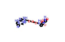 N=C(NCC(F)COCCOCCOCCNc1cccc2c1C(=O)N(C1CCC(=O)NC1=O)C2=O)c1cnc(Nc2ccc3cnccc3n2)cc1NC1CC1